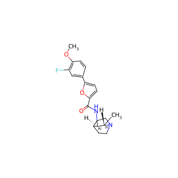 COc1ccc(-c2ccc(C(=O)N[C@@H]3C4CCN(CC4)[C@H]3C)o2)cc1F